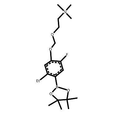 CCc1cc(OCOCC[Si](C)(C)C)c(F)cc1B1OC(C)(C)C(C)(C)O1